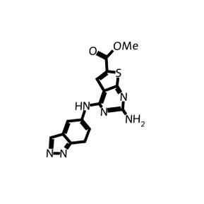 COC(=O)c1cc2c(NC3=CCC4=NN=CC4=C3)nc(N)nc2s1